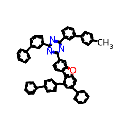 Cc1ccc(-c2cccc(-c3nc(-c4cccc(-c5ccccc5)c4)nc(-c4ccc5c(c4)oc4cc(-c6ccccc6)cc(-c6ccc(-c7ccccc7)cc6)c45)n3)c2)cc1